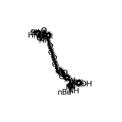 CCCCNc1ncc2c(-c3ccc(S(=O)(=O)N4CCN(CCOCCOCCOCCOCCNc5cccc6c5C(=O)N(C5CCC(=O)NC5=O)C6=O)CC4)cc3)nn([C@H]3CC[C@H](O)CC3)c2n1